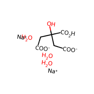 O.O.O.O=C([O-])CC(O)(CC(=O)[O-])C(=O)O.[Na+].[Na+]